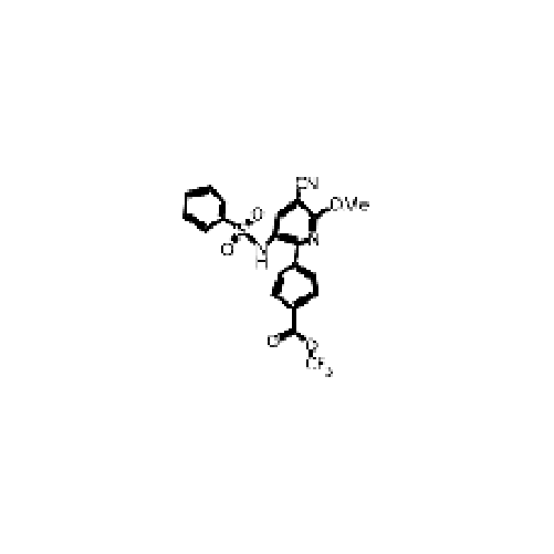 COc1nc(-c2ccc(C(=O)OC(F)(F)F)cc2)c(NS(=O)(=O)c2ccccc2)cc1C#N